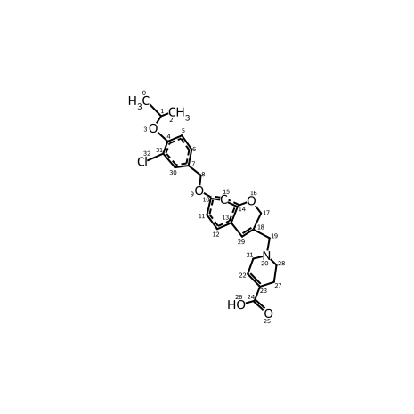 CC(C)Oc1ccc(COc2ccc3c(c2)OCC(CN2CC=C(C(=O)O)CC2)=C3)cc1Cl